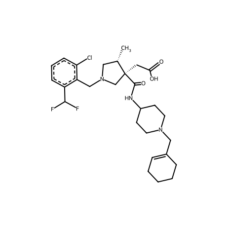 C[C@H]1CN(Cc2c(Cl)cccc2C(F)F)C[C@]1(CC(=O)O)C(=O)NC1CCN(CC2=CCCCC2)CC1